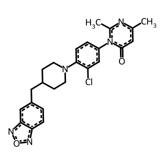 Cc1cc(=O)n(-c2ccc(N3CCC(Cc4ccc5nonc5c4)CC3)c(Cl)c2)c(C)n1